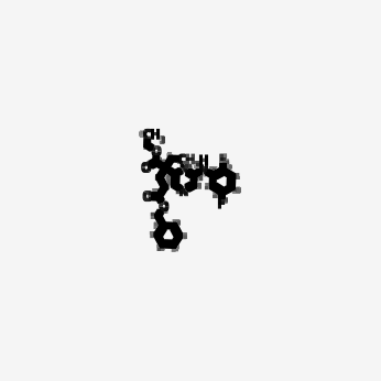 CCOC(=O)C(CC)(CCC(=O)OCc1ccccc1)c1cncc(Nc2cc(F)ccc2F)n1